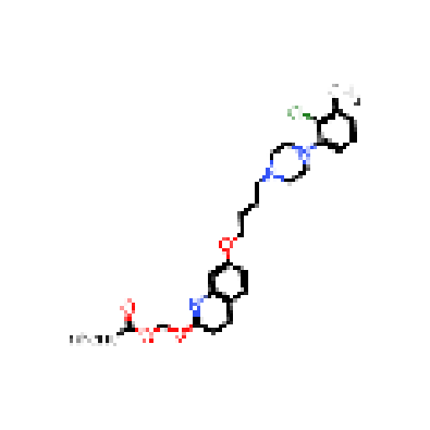 CCCCCC(=O)OCOC1=Nc2cc(OCCCCN3CCN(c4cccc(C)c4Cl)CC3)ccc2CC1